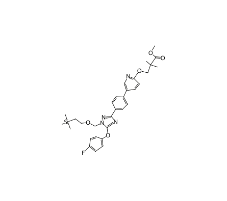 COC(=O)C(C)(C)COc1ccc(-c2ccc(-c3nc(Oc4ccc(F)cc4)n(COCC[Si](C)(C)C)n3)cc2)cn1